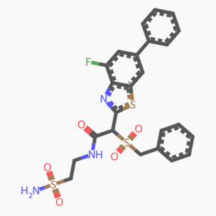 NS(=O)(=O)CCNC(=O)C(c1nc2c(F)cc(-c3ccccc3)cc2s1)S(=O)(=O)Cc1ccccc1